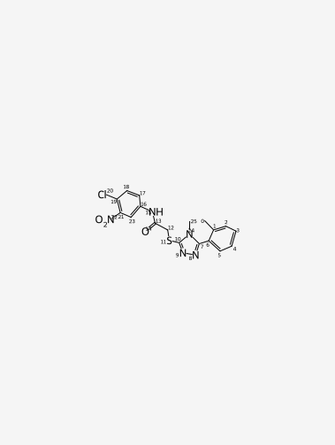 Cc1ccccc1-c1nnc(SCC(=O)Nc2ccc(Cl)c([N+](=O)[O-])c2)n1C